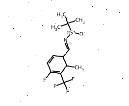 CC1C(C(F)(F)F)=C(F)C=CC1/C=N/[S@+]([O-])C(C)(C)C